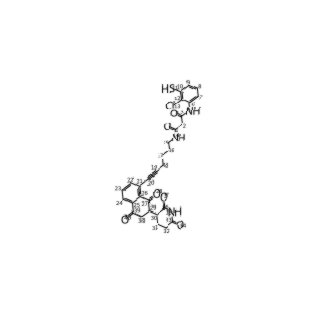 O=C(CC(=O)Nc1cccc(S)c1Cl)NCCCCC#Cc1cccc2c1C(=O)C(C1CCC(=O)NC1=O)CC2=O